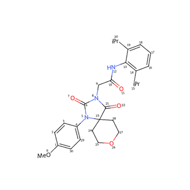 COc1ccc(N2C(=O)N(CC(=O)Nc3c(C(C)C)cccc3C(C)C)C(=O)C23CCOCC3)cc1